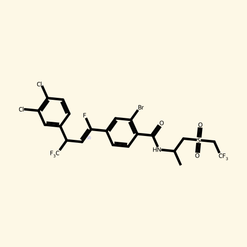 CC(CS(=O)(=O)CC(F)(F)F)NC(=O)c1ccc(/C(F)=C/C(c2ccc(Cl)c(Cl)c2)C(F)(F)F)cc1Br